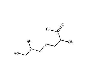 CC(CSCC(O)CO)C(=O)O